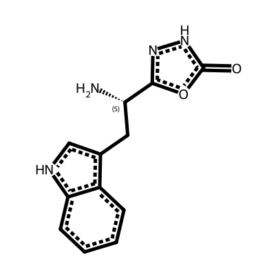 N[C@@H](Cc1c[nH]c2ccccc12)c1n[nH]c(=O)o1